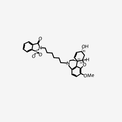 COc1ccc2c3c1O[C@H]1C[C@@H](O)C=C[C@@]31CCN(CCCCCCN1C(=O)c3ccccc3S1(=O)=O)C2